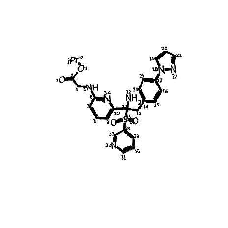 CC(C)OC(=O)CNc1cccc(C(N)(Cc2ccc(-n3cccn3)cc2)S(=O)(=O)c2cccnc2)n1